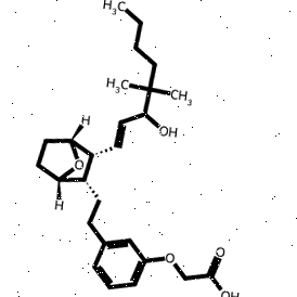 CCCCC(C)(C)C(O)/C=C/[C@@H]1[C@H](CCc2cccc(OCC(=O)O)c2)[C@@H]2CC[C@H]1O2